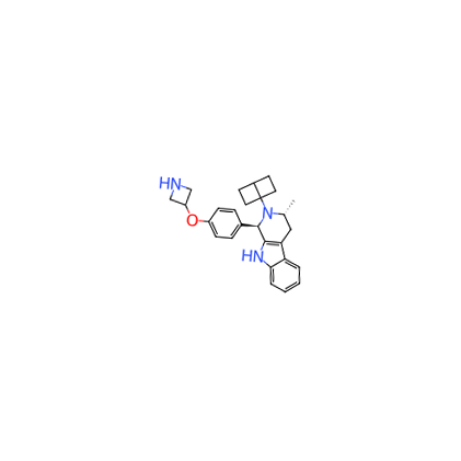 C[C@@H]1Cc2c([nH]c3ccccc23)[C@@H](c2ccc(OC3CNC3)cc2)N1C12CCC1CC2